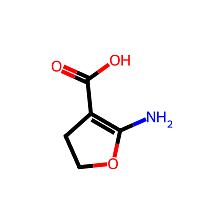 NC1=C(C(=O)O)CCO1